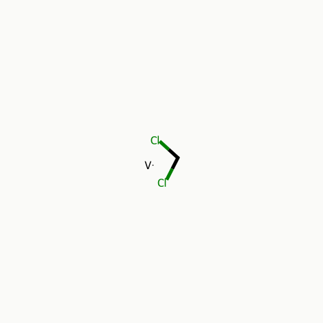 ClCCl.[V]